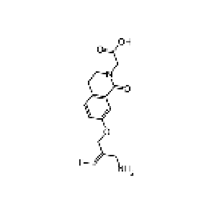 NC/C(=C/F)COc1ccc2c(c1)C(=O)N(CC(=O)O)CC2